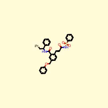 CC(C)CC(NC(=O)c1cc(COc2ccccc2)ccc1/C=C/C(=O)NS(=O)(=O)c1ccccc1)c1ccccc1